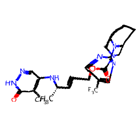 C[C@@H](/C=C/COC(=O)N1CC2CCC(C1)N2c1ncc(C(F)(F)F)cn1)Nc1cn[nH]c(=O)c1C(F)(F)F